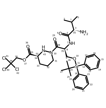 CC(C)[C@H](N)C(=O)N[C@@H](CO[Si](c1ccccc1)(c1ccccc1)C(C)(C)C)C(=O)N1CCC[C@@H](C(=O)OCC(Cl)(Cl)Cl)N1